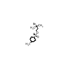 Cc1ccc(S(=O)(=O)OCCC(C)(C)Br)cc1